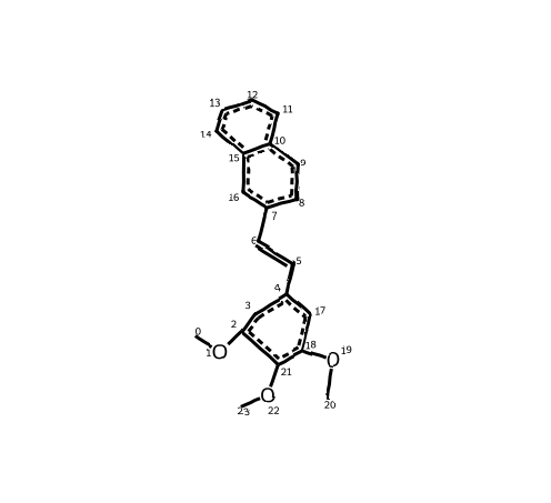 COc1cc(/C=C/c2ccc3ccccc3c2)cc(OC)c1OC